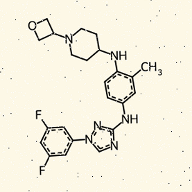 Cc1cc(Nc2ncn(-c3cc(F)cc(F)c3)n2)ccc1NC1CCN(C2COC2)CC1